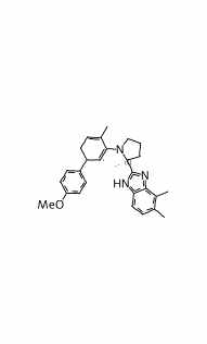 COc1ccc(C2[C]=C(N3CCC[C@@]3(C)c3nc4c(C)c(C)ccc4[nH]3)C(C)=CC2)cc1